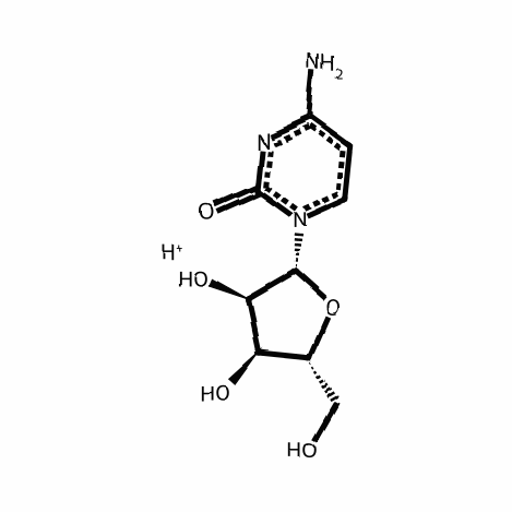 Nc1ccn([C@@H]2O[C@H](CO)[C@@H](O)[C@H]2O)c(=O)n1.[H+]